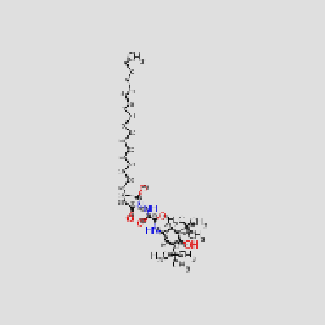 CCCCCCCCCCCCCCCCCCC1CC(=O)N(NC(=O)C(=O)Nc2cc(C(C)(C)C)c(O)c(C(C)(C)C)c2)C1=O